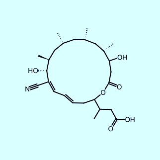 CC(CC(=O)O)C1C/C=C/C=C(/C#N)[C@H](O)[C@@H](C)C[C@H](C)C[C@H](C)C[C@H](C)C(O)CC(=O)O1